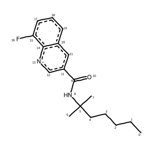 CCCCCC(C)(C)NC(=O)c1cnc2c(F)cccc2c1